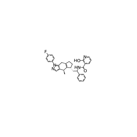 C[C@@H]1C2=C(CC[C@@H]2CC(NC(=O)c2cccnc2O)c2ccccc2)Cc2c1cnn2-c1ccc(F)cc1